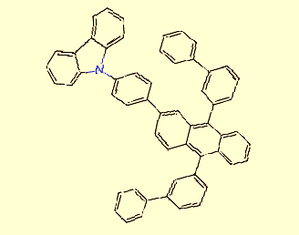 c1ccc(-c2cccc(-c3c4ccccc4c(-c4cccc(-c5ccccc5)c4)c4cc(-c5ccc(-n6c7ccccc7c7ccccc76)cc5)ccc34)c2)cc1